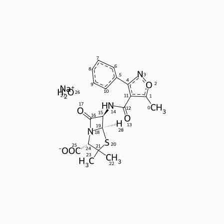 Cc1onc(-c2ccccc2)c1C(=O)N[C@@H]1C(=O)N2[C@@H]1SC(C)(C)[C@@H]2C(=O)[O-].O.[Na+]